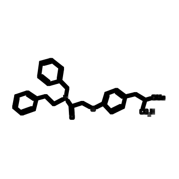 COC(Cc1ccc(OCC(=O)N(CCc2ccccc2)Cc2ccccc2)cc1)C(=O)O